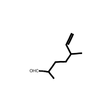 C=CC(C)CCC(C)C=O